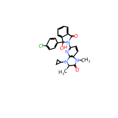 CC1C(=O)N(C)c2ccc(N3C(=O)c4ccccc4C3(O)c3ccc(Cl)cc3)nc2N1C1CC1